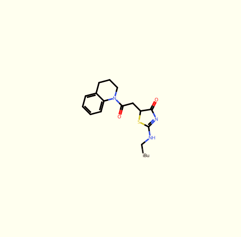 CCC(C)CNC1=NC(=O)C(CC(=O)N2CCCc3ccccc32)S1